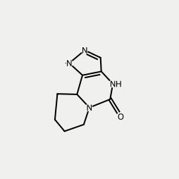 O=C1NC2=C([N]N=C2)C2CCCCN12